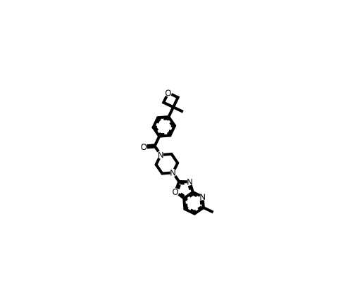 Cc1ccc2oc(N3CCN(C(=O)c4ccc(C5(C)COC5)cc4)CC3)nc2n1